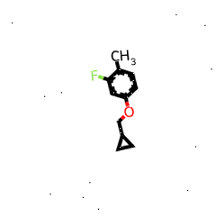 Cc1ccc(OCC2CC2)cc1F